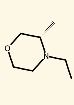 CCN1CCOC[C@@H]1C